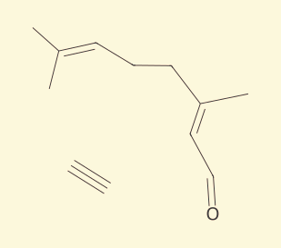 C#C.CC(C)=CCCC(C)=CC=O